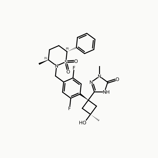 C[C@H]1CC[C@H](c2ccccc2)S(=O)(=O)N1Cc1cc(F)c([C@]2(c3nn(C)c(=O)[nH]3)C[C@](C)(O)C2)cc1F